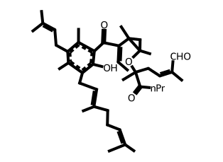 C/C=C(/C(=O)c1c(C)c(CC=C(C)C)c(C)c(C/C=C(\C)CCC=C(C)C)c1O)C1(C)CC1(C)OC(C)(C/C=C(/C)C=O)C(=O)CCC